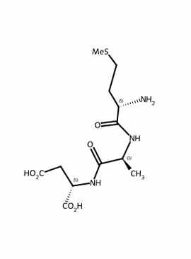 CSCC[C@H](N)C(=O)N[C@@H](C)C(=O)N[C@@H](CC(=O)O)C(=O)O